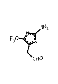 Nc1nc(C(F)(F)F)c(CC=O)s1